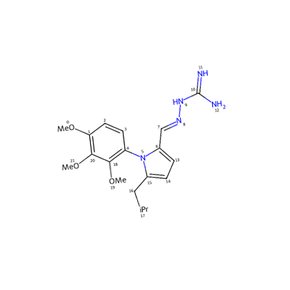 COc1ccc(-n2c(C=NNC(=N)N)ccc2CC(C)C)c(OC)c1OC